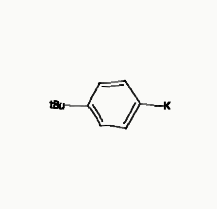 CC(C)(C)c1cc[c]([K])cc1